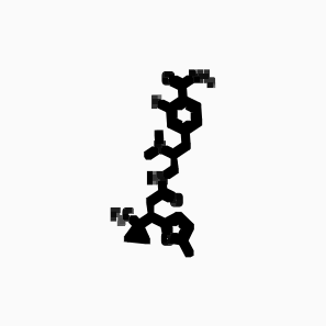 Cc1ccc([C@H](CC(=O)NC[C@H](Cc2ccc(C(N)=O)c(F)c2)N(C)C)C2(C(F)(F)F)CC2)o1